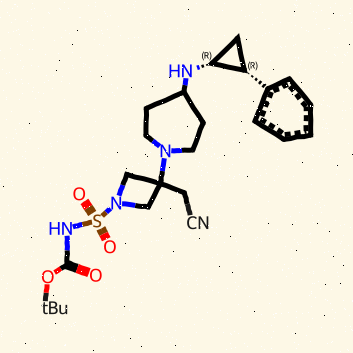 CC(C)(C)OC(=O)NS(=O)(=O)N1CC(CC#N)(N2CCC(N[C@@H]3C[C@@H]3c3ccccc3)CC2)C1